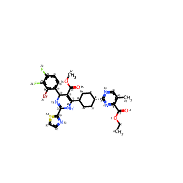 CCOC(=O)c1nc([C@H]2CC[C@H](C3=C(C(=O)OC)C(c4ccc(F)c(F)c4Br)N=C(c4nccs4)N3)CC2)ncc1C